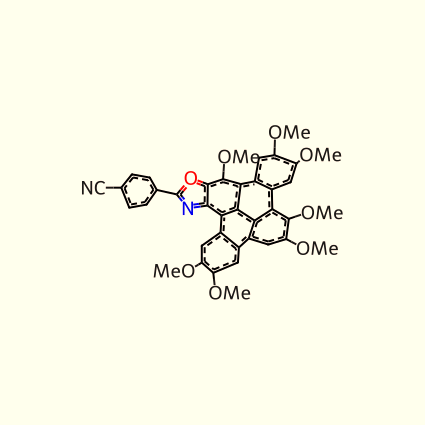 COc1cc2c(cc1OC)c1c3nc(-c4ccc(C#N)cc4)oc3c(OC)c3c4cc(OC)c(OC)cc4c4c(OC)c(OC)cc2c4c31